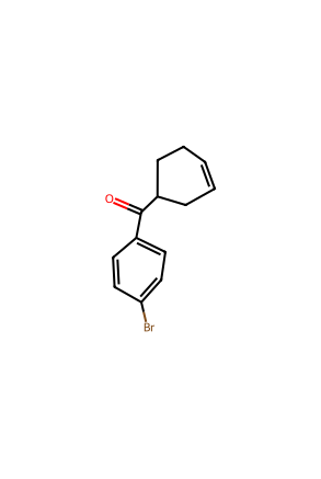 O=C(c1ccc(Br)cc1)C1CC=CCC1